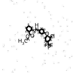 CCOC(=O)c1ccccc1SNc1ccc(Oc2ccc(C(F)(F)F)cc2Cl)cc1